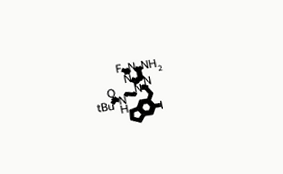 CC(C)(C)C(=O)NCCn1c(Cc2cc3c(cc2I)CCC3)nc2c(N)nc(F)nc21